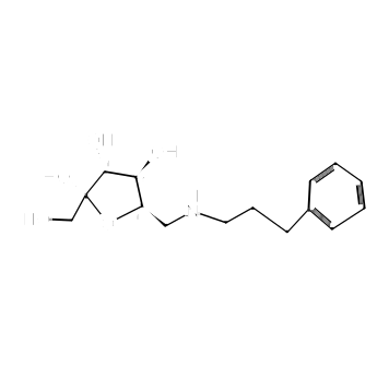 OC[C@]1(O)O[C@H](CNCCCc2ccccc2)[C@H](O)[C@H]1O